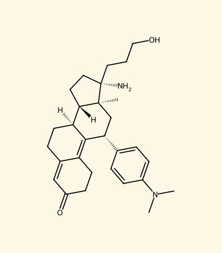 CN(C)c1ccc([C@H]2C[C@@]3(C)[C@@H](CC[C@@]3(N)CCCO)[C@@H]3CCC4=CC(=O)CCC4=C32)cc1